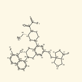 C=C(F)C(=O)N1CCN(c2nc(OCC34CCN(C)C3COC4)nc3c2CCN(c2cccc4ccc(F)c(Cl)c24)C3)C[C@@H]1CC#N